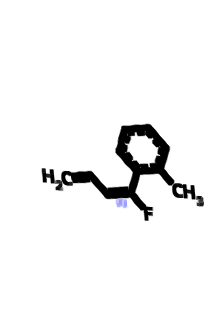 C=C/C=C(/F)c1ccccc1C